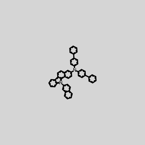 c1ccc(-c2ccc(N(c3ccc(-c4ccccc4)cc3)c3ccc4c(ccc5c6ccccc6n(-c6ccc7ccccc7c6)c45)c3)cc2)cc1